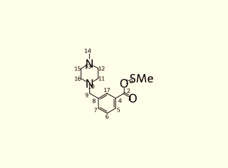 CSOC(=O)c1cccc(CN2CCN(C)CC2)c1